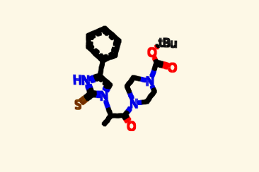 CC(C(=O)N1CCN(C(=O)OC(C)(C)C)CC1)n1cc(-c2ccccc2)[nH]c1=S